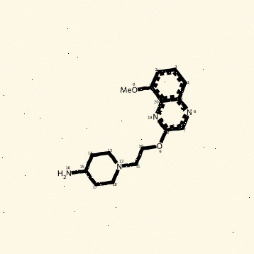 COc1cccc2ncc(OCCN3CCC(N)CC3)nc12